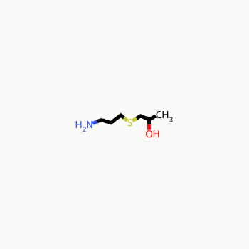 CC(O)CSCCCN